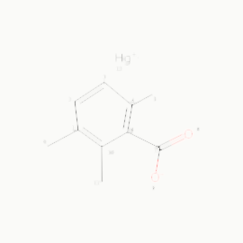 Cc1ccc(C)c(C(=O)[O-])c1C.[Hg+]